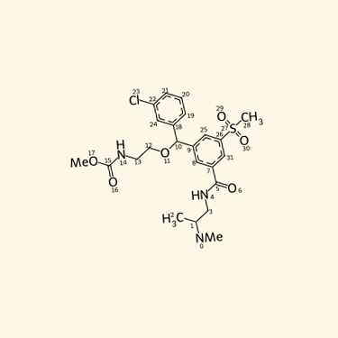 CNC(C)CNC(=O)c1cc(C(OCCNC(=O)OC)c2cccc(Cl)c2)cc(S(C)(=O)=O)c1